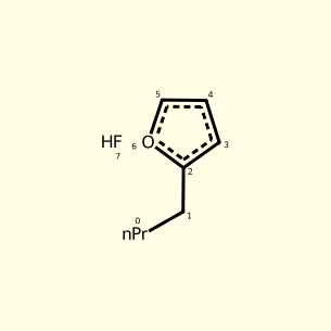 CCCCc1ccco1.F